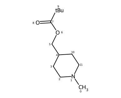 CN1CCC(COC(=O)C(C)(C)C)CC1